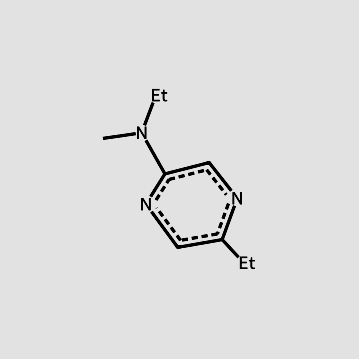 CCc1cnc(N(C)CC)cn1